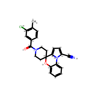 Cc1ccc(C(=O)N2CCC3(CC2)Oc2ccccc2-n2c(C#N)ccc23)cc1Cl